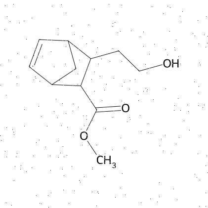 COC(=O)C1C2C=CC(C2)C1CCO